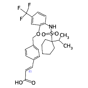 CC(C)C1(S(=O)(=O)Nc2ccc(C(F)(F)F)cc2OCc2ccc(/C=C/C(=O)O)cc2)CCCCC1